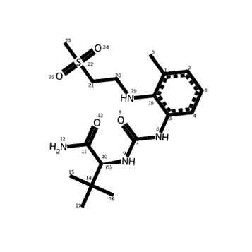 Cc1cccc(NC(=O)N[C@H](C(N)=O)C(C)(C)C)c1NCCS(C)(=O)=O